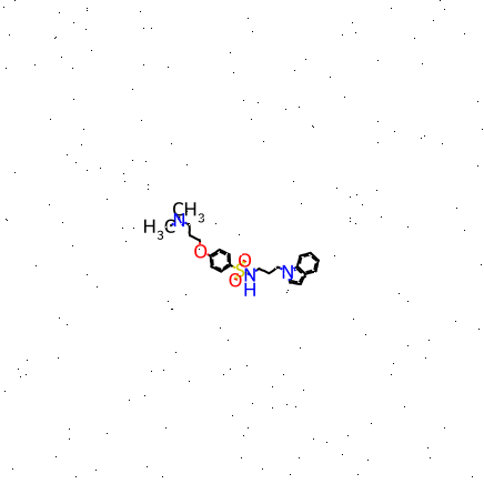 CN(C)CCCOc1ccc(S(=O)(=O)NCCCn2ccc3ccccc32)cc1